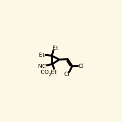 CCOC(=O)C1(C#N)C(C=C(Cl)Cl)C1(CC)CC